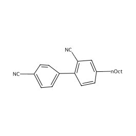 CCCCCCCCc1ccc(-c2ccc(C#N)cc2)c(C#N)c1